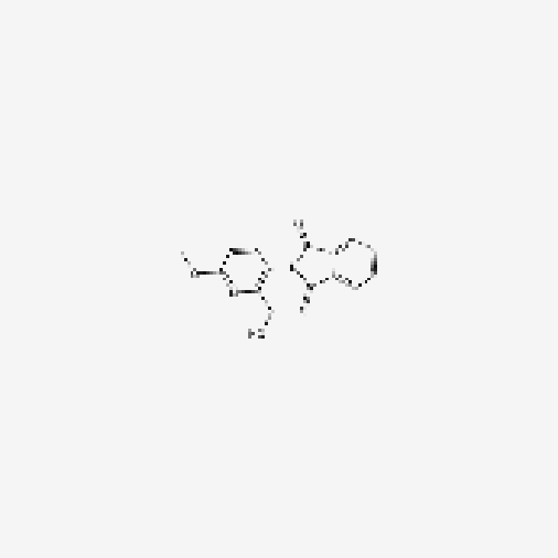 COc1ccc(N2C(=O)c3ccccc3C2=O)c(CO)n1